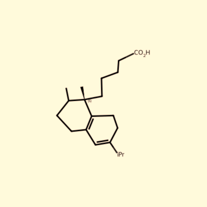 CC(C)C1=CC2=C(CC1)[C@@](C)(CCCCC(=O)O)C(C)CC2